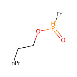 CCCCCO[PH](=O)CC